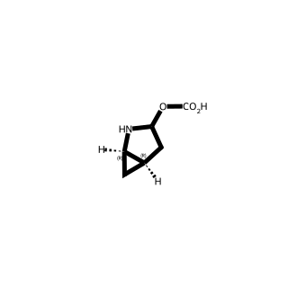 O=C(O)OC1C[C@H]2C[C@H]2N1